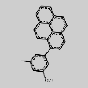 COc1cc(C)cc(-c2ccc3ccc4cccc5ccc2c3c45)c1